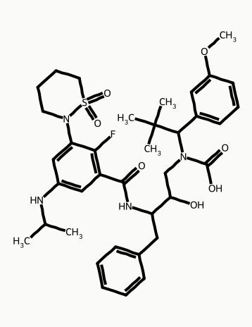 COc1cccc(C(N(CC(O)C(Cc2ccccc2)NC(=O)c2cc(NC(C)C)cc(N3CCCCS3(=O)=O)c2F)C(=O)O)C(C)(C)C)c1